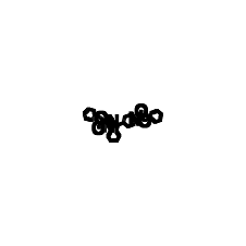 O=C(Oc1ccccc1)N1CCC(c2nn(C(=O)Oc3ccccc3)c3ccccc23)CC1